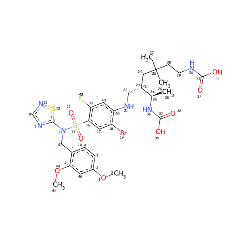 COc1ccc(CN(c2ncns2)S(=O)(=O)c2cc(Br)c(NC[C@H](CC(C)(C)CCNC(=O)O)[C@@H](C)NC(=O)O)cc2F)c(OC)c1